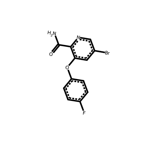 NC(=O)c1ncc(Br)cc1Oc1ccc(F)cc1